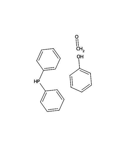 C=O.Oc1ccccc1.c1ccc(Pc2ccccc2)cc1